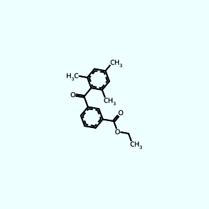 CCOC(=O)c1cccc(C(=O)c2c(C)cc(C)cc2C)c1